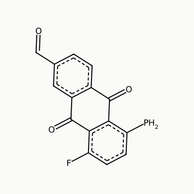 O=Cc1ccc2c(c1)C(=O)c1c(F)ccc(P)c1C2=O